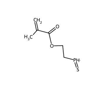 C=C(C)C(=O)OCC[PH]=S